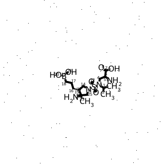 CC(C)N(CC(N)C(=O)O)S(=O)(=O)N1C[C@H](CCCB(O)O)[C@@](C)(N)C1